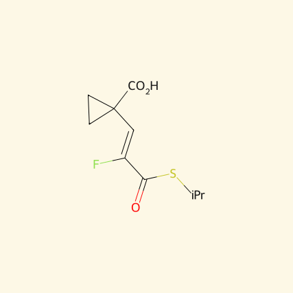 CC(C)SC(=O)C(F)=CC1(C(=O)O)CC1